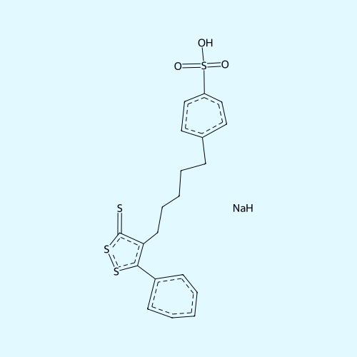 O=S(=O)(O)c1ccc(CCCCCc2c(-c3ccccc3)ssc2=S)cc1.[NaH]